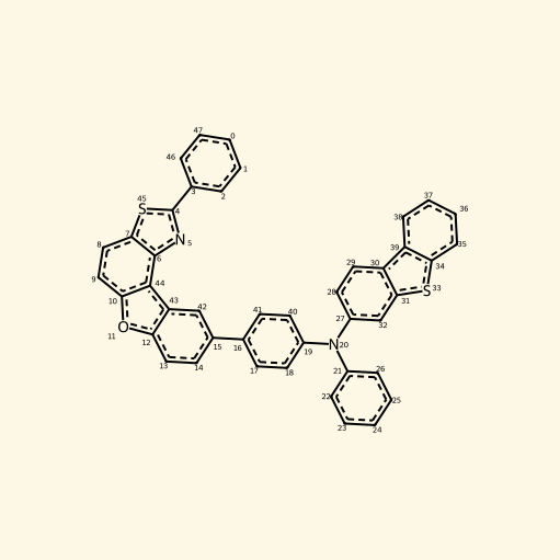 c1ccc(-c2nc3c(ccc4oc5ccc(-c6ccc(N(c7ccccc7)c7ccc8c(c7)sc7ccccc78)cc6)cc5c43)s2)cc1